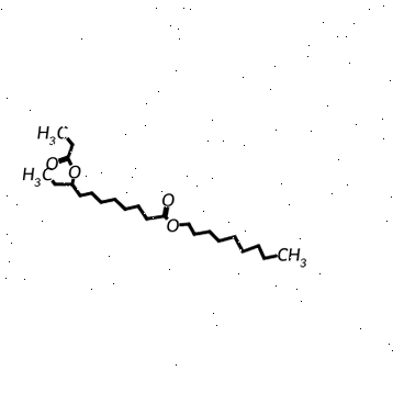 CCCCCCCCCOC(=O)CCCCCCCC(CC)OC(=O)CC